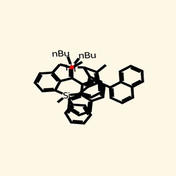 CCC[CH2][Hf]1([CH2]CCC)[CH]2C(C)=C(c3cccc4ccccc34)c3c2cccc3[Si](C)(c2ccccc2)c2cccc3c2C(c2cccc4ccccc24)=C(C)[CH]31